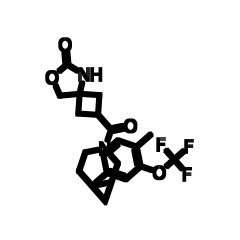 Cc1ccc(C23CCN(C(=O)C4CC5(COC(=O)N5)C4)CC2C3)cc1OC(F)(F)F